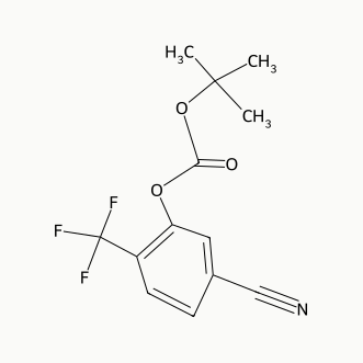 CC(C)(C)OC(=O)Oc1cc(C#N)ccc1C(F)(F)F